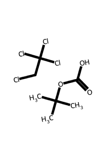 CC(C)(C)OC(=O)O.ClCC(Cl)(Cl)Cl